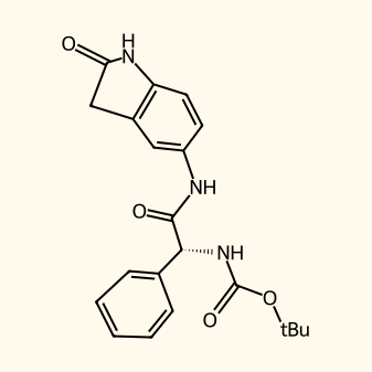 CC(C)(C)OC(=O)N[C@@H](C(=O)Nc1ccc2c(c1)CC(=O)N2)c1ccccc1